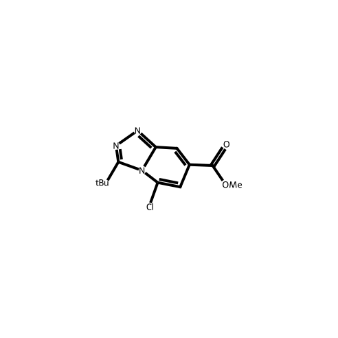 COC(=O)c1cc(Cl)n2c(C(C)(C)C)nnc2c1